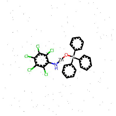 Clc1c(Cl)c(Cl)c([NH][Zn][O][Si](c2ccccc2)(c2ccccc2)c2ccccc2)c(Cl)c1Cl